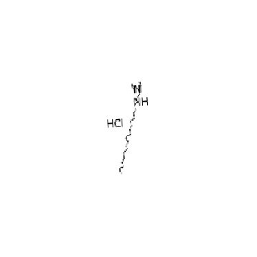 CCCCCCCCC=CCCCCCCCCNCCN(CC)CC.Cl